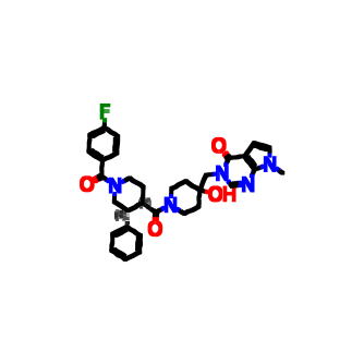 Cn1ccc2c(=O)n(CC3(O)CCN(C(=O)[C@@H]4CCN(C(=O)c5ccc(F)cc5)C[C@H]4c4ccccc4)CC3)cnc21